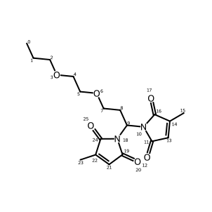 CCCOCCOCCC(N1C(=O)C=C(C)C1=O)N1C(=O)C=C(C)C1=O